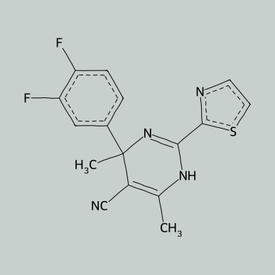 CC1=C(C#N)C(C)(c2ccc(F)c(F)c2)N=C(c2nccs2)N1